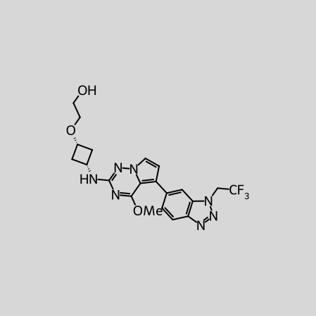 COc1nc(N[C@H]2C[C@@H](OCCO)C2)nn2ccc(-c3ccc4nnn(CC(F)(F)F)c4c3)c12